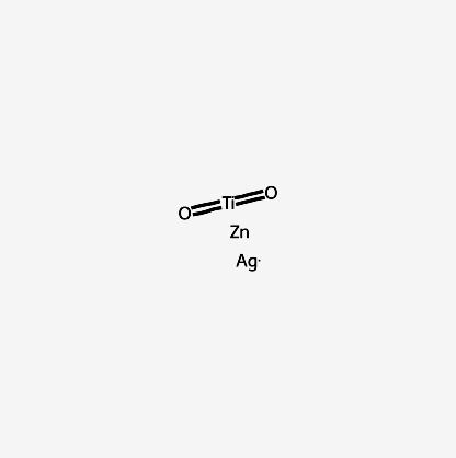 [Ag].[O]=[Ti]=[O].[Zn]